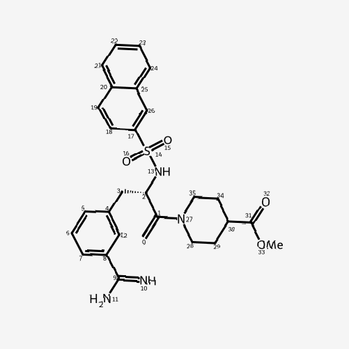 C=C([C@H](Cc1cccc(C(=N)N)c1)NS(=O)(=O)c1ccc2ccccc2c1)N1CCC(C(=O)OC)CC1